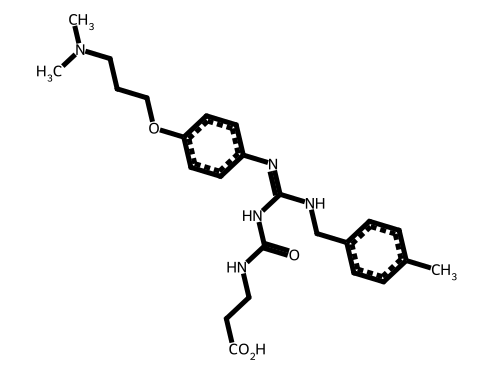 Cc1ccc(CN/C(=N/c2ccc(OCCCN(C)C)cc2)NC(=O)NCCC(=O)O)cc1